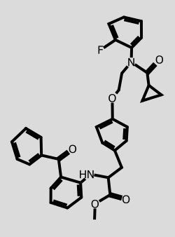 COC(=O)C(Cc1ccc(OCCN(C(=O)C2CC2)c2ccccc2F)cc1)Nc1ccccc1C(=O)c1ccccc1